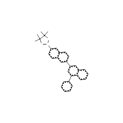 CC1(C)OB(c2ccc3cc(-c4cc(-c5ccccc5)c5ccccc5c4)ccc3c2)OC1(C)C